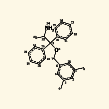 Cc1cc(C)cc(COC(c2ccccc2)(c2ccccc2)C(C)N)c1